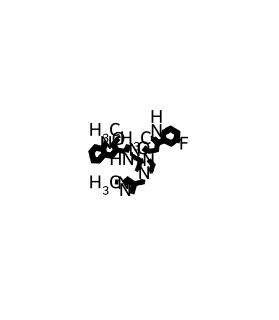 COc1nc2ccccc2cc1-c1cnc(C2CN(Cc3cnn(C)c3)CCN2C(=O)Cc2c(C)[nH]c3ccc(F)cc23)[nH]1